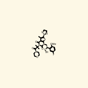 COc1ccc(F)cc1[C@H](Cn1c(=O)n(C(C)(C)C(=O)N2CCOCC2)c(=O)c2c(C)c(-n3nccn3)sc21)OC(C)C